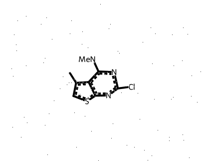 CNc1nc(Cl)nc2scc(C)c12